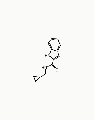 O=C(NCC1CC1)c1cc2ccccc2[nH]1